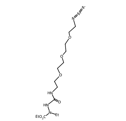 CCOC(=O)N(CC)NC(=O)NCCOCCOCCOCCN=[N+]=[N-]